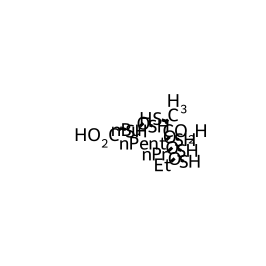 CC(S)C(=O)O.CCCCCOS.CCCCOS.CCCOS.CCOS.O=C(O)CS